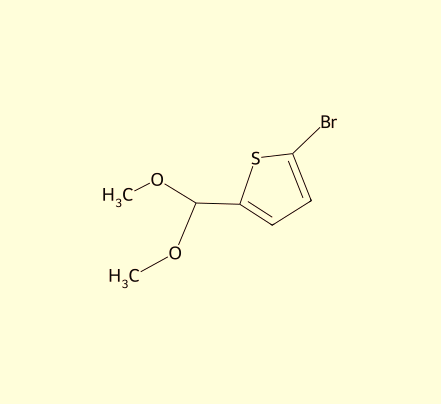 COC(OC)c1ccc(Br)s1